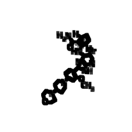 COc1cc(N2CCC(N3CCOCC3)CC2)ccc1-c1nc2c(N[C@H]3[C@@H](C(N)=O)[C@@H]4C=C[C@H]3C4)c(Br)cnc2[nH]1